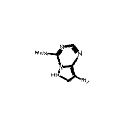 CNC1=NC=NC2=C(P)CNN12